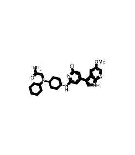 COc1cnc2[nH]cc(-c3cc(Cl)nc(N[C@H]4CC[C@H](N(CC(N)=O)C5CCCCC5)CC4)c3)c2c1